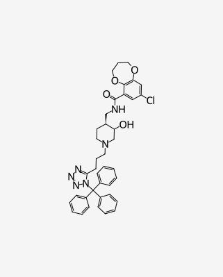 O=C(NC[C@@H]1CCN(CCCc2nnnn2C(c2ccccc2)(c2ccccc2)c2ccccc2)CC1O)c1cc(Cl)cc2c1OCCCO2